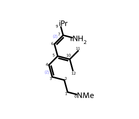 CNCC/C=C\C(/C=C(\N)C(C)C)=C(C)C